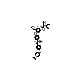 CCC(CC)NC(=O)Nc1ccc(Oc2ccc(NC(=O)c3ccc(OC4CCN(C(C)C)CC4)cc3)cc2)c(COC)c1